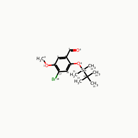 COc1cc(C=O)c(O[Si](C)(C)C(C)(C)C)cc1Br